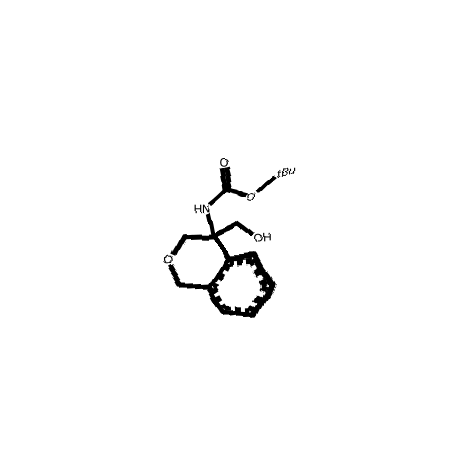 CC(C)(C)OC(=O)NC1(CO)COCc2ccccc21